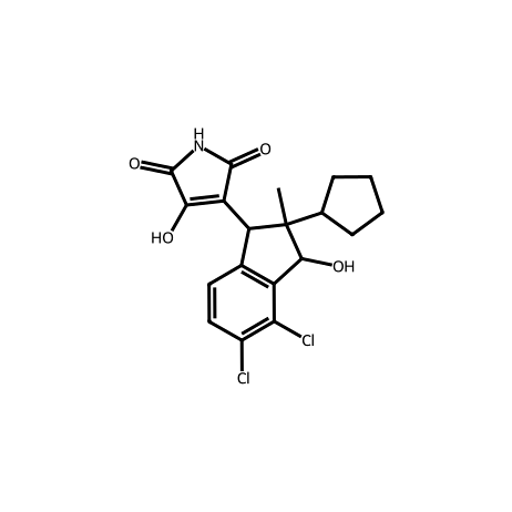 CC1(C2CCCC2)C(O)c2c(ccc(Cl)c2Cl)C1C1=C(O)C(=O)NC1=O